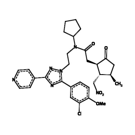 COc1ccc(-c2nc(-c3ccncc3)nn2CCN(C(=O)C[C@H]2C(=O)C[C@@H](C)[C@@H]2C[N+](=O)[O-])C2CCCC2)cc1Cl